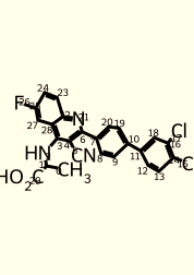 CC(Nc1c(C#N)c(-c2ccc(-c3ccc(Cl)c(Cl)c3)cc2)nc2ccc(F)cc12)C(=O)O